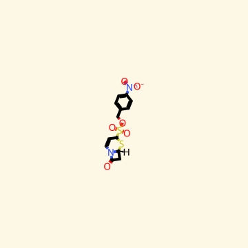 O=C1C[C@H]2SC(S(=O)(=O)OCc3ccc([N+](=O)[O-])cc3)C=CN12